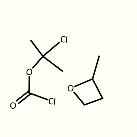 CC(C)(Cl)OC(=O)Cl.CC1CCO1